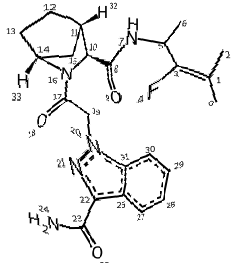 CC(C)=C(F)C(C)NC(=O)[C@@H]1[C@H]2CC[C@H](C2)N1C(=O)Cn1nc(C(N)=O)c2ccccc21